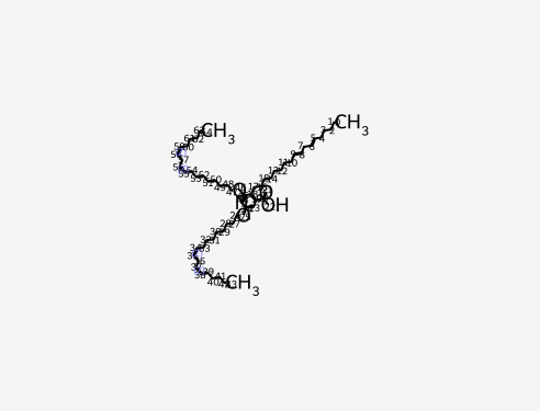 CCCCCC=CCC=CCCCCCCCCc1c(C(=O)O)cc(OCCCCCCCC/C=C\C/C=C\CCCCC)nc1OCCCCCCCC/C=C\C/C=C\CCCCC